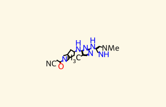 CN/C=C(\C=N)Nc1ncc(C)c(NC2CC3CN(C(=O)CC#N)CC3C2)n1